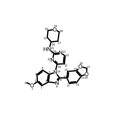 COc1ccc2c(c1)nc(-c1ccc3c(c1)OCO3)n2-c1ccnc(NC2CCOCC2)n1